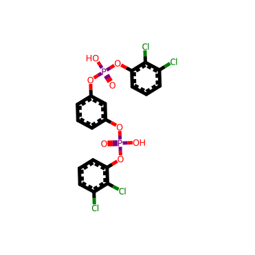 O=P(O)(Oc1cccc(OP(=O)(O)Oc2cccc(Cl)c2Cl)c1)Oc1cccc(Cl)c1Cl